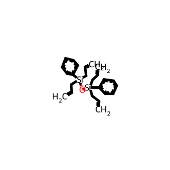 C=CC[Si](CC=C)(O[Si](CC=C)(CC=C)c1ccccc1)c1ccccc1